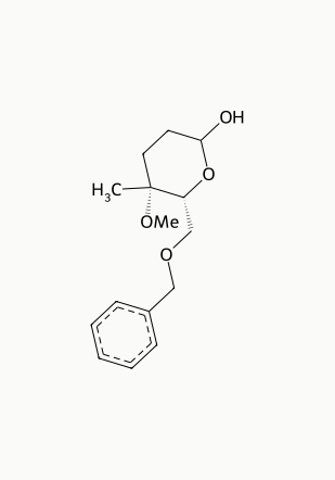 CO[C@]1(C)CCC(O)O[C@@H]1COCc1ccccc1